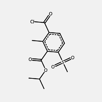 Cc1c(C(=O)Cl)ccc(S(C)(=O)=O)c1C(=O)OC(C)C